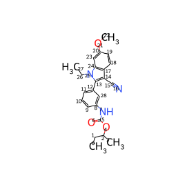 CCC(C)OC(=O)Nc1cccc(-c2c(C#N)c3ccc(OC)cc3n2CC)c1